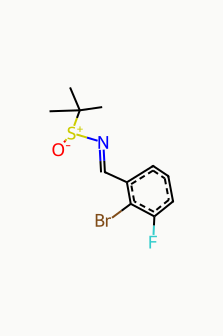 CC(C)(C)[S+]([O-])N=Cc1cccc(F)c1Br